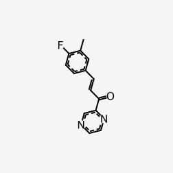 Cc1cc(/C=C/C(=O)c2cnccn2)ccc1F